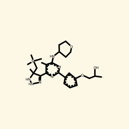 [CH2]C(O)COc1cccc(-c2nc(NC3CCOCC3)c(C)c(C3=NNNC3(C)C[Si](C)(C)C)n2)c1